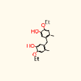 CCOc1cc(C)c(Cc2cc(O)c(OCC)cc2C)cc1O